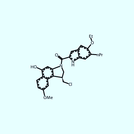 CCCc1cc2[nH]c(C(=O)N3C[C@@H](CCl)c4c3cc(O)c3ccc(OC)cc43)cc2cc1OCC